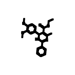 CCOC(=O)C1=C(C)N=C(c2ccccc2)NC1c1ccc(OC)c(OC)c1